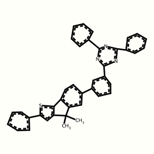 CC1(C)c2cc(-c3cccc(-c4nc(-c5ccccc5)nc(-c5ccccc5)n4)c3)ccc2-c2sc(-c3ccccc3)cc21